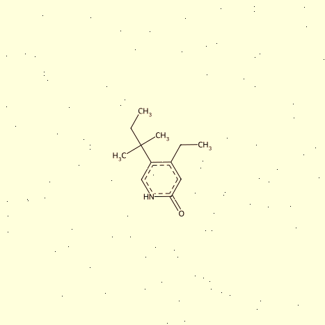 CCc1cc(=O)[nH]cc1C(C)(C)CC